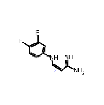 N=C(N)/C=C\Nc1ccc(F)c(F)c1